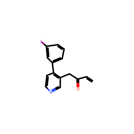 C=CC(=O)Cc1cnccc1-c1cccc(I)c1